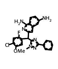 COc1cc(C(c2cc3cc(N)ccc3c(N)n2)c2nc(-c3ccccc3)nn2C)c(F)cc1Cl